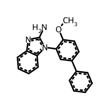 COc1ccc(-c2ccccc2)cc1-n1c(N)nc2ccccc21